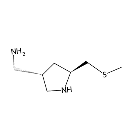 CSC[C@@H]1C[C@@H](CN)CN1